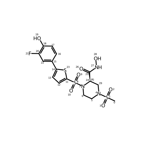 CS(=O)(=O)N1CCN(S(=O)(=O)c2ccc(-c3ccc(O)c(F)c3)s2)[C@@H](C(=O)NO)C1